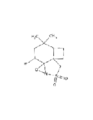 CC1(C)CC(Br)C23ON2S(=O)(=O)CC32CCC12